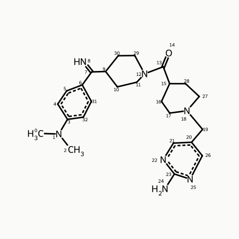 CN(C)c1ccc(C(=N)C2CCN(C(=O)C3CCN(Cc4cnc(N)nc4)CC3)CC2)cc1